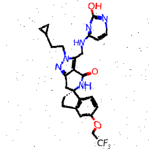 O=C1N[C@]2(CCc3cc(OCC(F)(F)F)ccc32)Cc2nn(CCC3CC3)c(CNc3ccnc(O)n3)c21